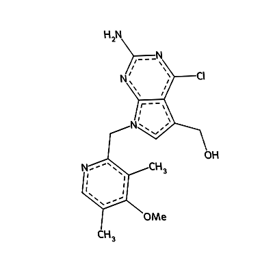 COc1c(C)cnc(Cn2cc(CO)c3c(Cl)nc(N)nc32)c1C